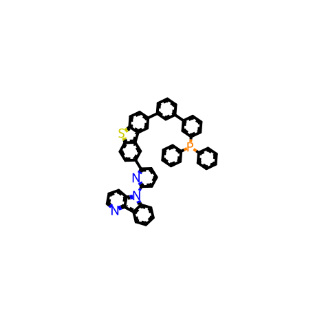 c1ccc(P(c2ccccc2)c2cccc(-c3cccc(-c4ccc5sc6ccc(-c7cccc(-n8c9ccccc9c9ncccc98)n7)cc6c5c4)c3)c2)cc1